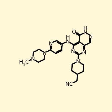 CN1CCN(c2ccc(Nc3nc(N4CCC(CC#N)CC4)nc4cn[nH]c(=O)c34)cn2)CC1